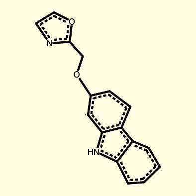 [c]1c(OCc2ncco2)ccc2c1[nH]c1ccccc12